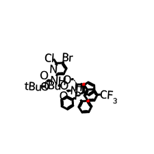 CC(C)(C)OC(=O)Nc1nc(Cl)c(Br)cc1OC[C@H](Cc1cccc(C(F)(F)F)c1)N(C(=O)OC(C)(C)C)[PH](c1ccccc1)(c1ccccc1)c1ccccc1